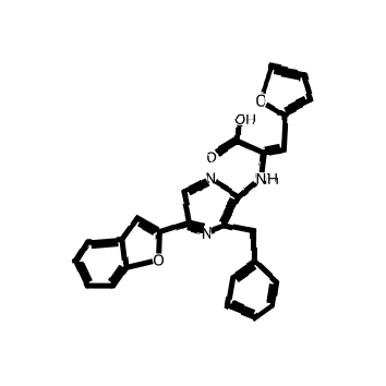 O=C(O)C(=Cc1ccco1)Nc1ncc(-c2cc3ccccc3o2)nc1Cc1ccccc1